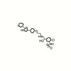 CS(=O)(=O)Nc1cc(C(O)CNCCOc2ccc(-c3c[nH]c(-c4cccnc4)n3)cc2)ccc1Cl